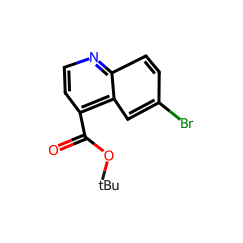 CC(C)(C)OC(=O)c1ccnc2ccc(Br)cc12